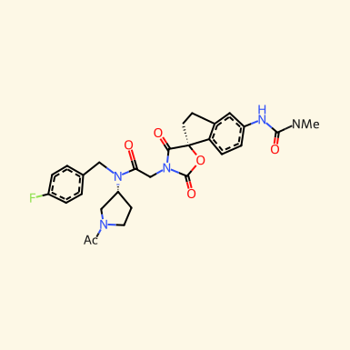 CNC(=O)Nc1ccc2c(c1)CC[C@@]21OC(=O)N(CC(=O)N(Cc2ccc(F)cc2)[C@@H]2CCN(C(C)=O)C2)C1=O